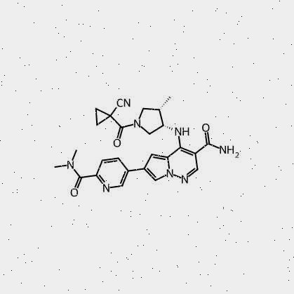 C[C@H]1CN(C(=O)C2(C#N)CC2)C[C@H]1Nc1c(C(N)=O)cnn2cc(-c3ccc(C(=O)N(C)C)nc3)cc12